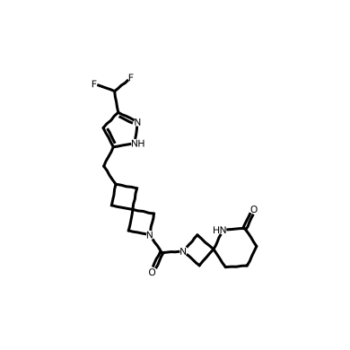 O=C1CCCC2(CN(C(=O)N3CC4(CC(Cc5cc(C(F)F)n[nH]5)C4)C3)C2)N1